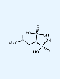 CONCC(P(=O)(O)O)P(=O)(O)O